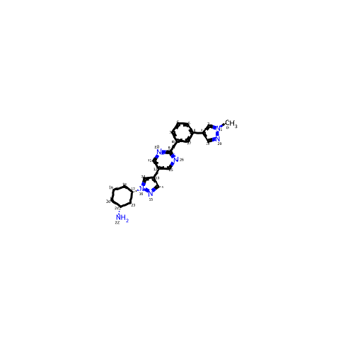 Cn1cc(-c2cccc(-c3ncc(-c4cnn([C@H]5CCC[C@@H](N)C5)c4)cn3)c2)cn1